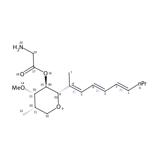 CCC/C=C/C=C/C=C(\C)[C@@H]1OC[C@H](C)[C@H](OC)[C@H]1OC(=O)CN